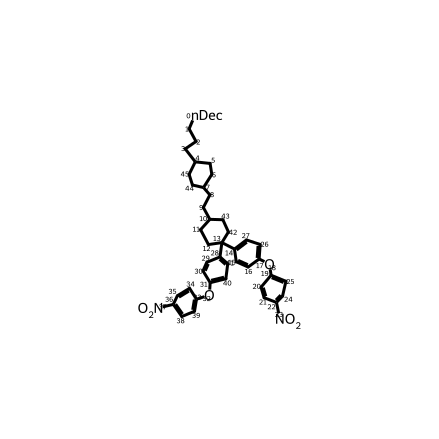 CCCCCCCCCCCCCC1CCC(CCC2CCC(c3ccc(Oc4ccc([N+](=O)[O-])cc4)cc3)(c3ccc(Oc4ccc([N+](=O)[O-])cc4)cc3)CC2)CC1